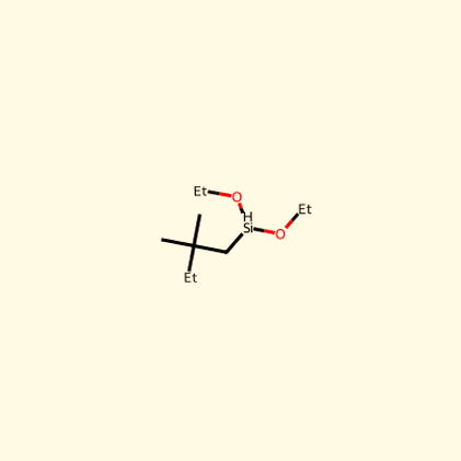 CCO[SiH](CC(C)(C)CC)OCC